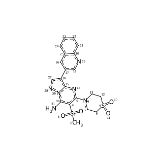 CS(=O)(=O)c1c(N2CCS(=O)(=O)CC2)nc2c(-c3cnc4ccccc4c3)cnn2c1N